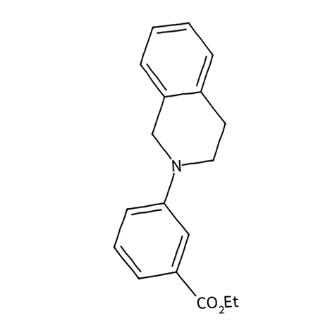 CCOC(=O)c1cccc(N2CCc3ccccc3C2)c1